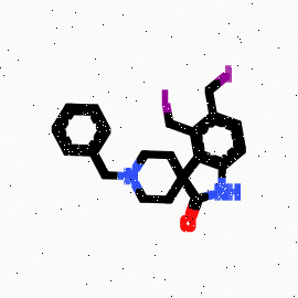 O=C1Nc2ccc(CI)c(CI)c2C12CCN(Cc1ccccc1)CC2